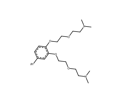 CC(C)c1ccc(OCCOCCN(C)C)c(OCCOCCN(C)C)c1